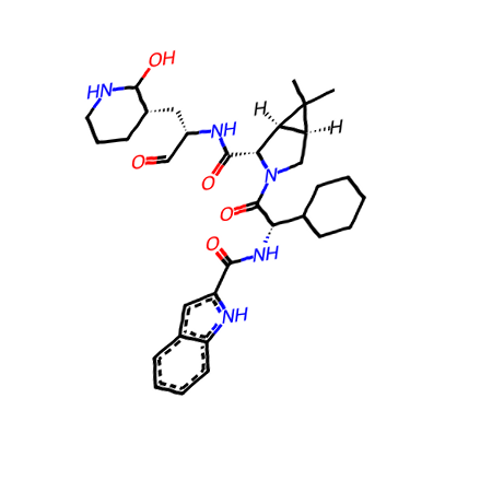 CC1(C)[C@@H]2[C@@H](C(=O)N[C@H](C=O)C[C@@H]3CCCNC3O)N(C(=O)[C@@H](NC(=O)c3cc4ccccc4[nH]3)C3CCCCC3)C[C@@H]21